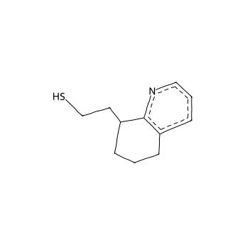 SCCC1CCCc2cccnc21